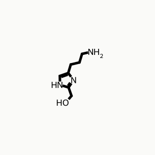 NCCCc1c[nH]c(CO)n1